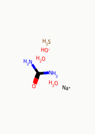 NC(N)=O.O.O.S.[Na+].[OH-]